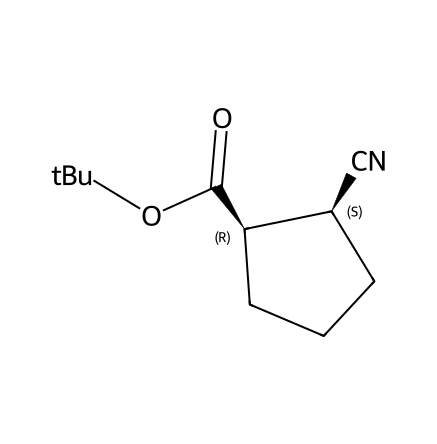 CC(C)(C)OC(=O)[C@@H]1CCC[C@@H]1C#N